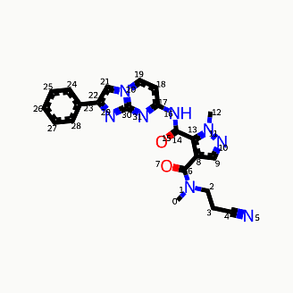 CN(CCC#N)C(=O)c1cnn(C)c1C(=O)Nc1ccn2cc(-c3ccccc3)nc2n1